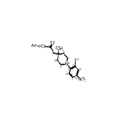 COC(=O)CC1(O)CCN(c2ccc([N+](=O)[O-])cc2F)CC1